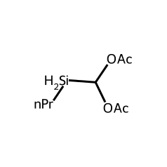 [CH2]CC[SiH2]C(OC(C)=O)OC(C)=O